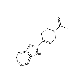 CC(=O)N1CC=C(c2cc3ccccc3[nH]2)CC1